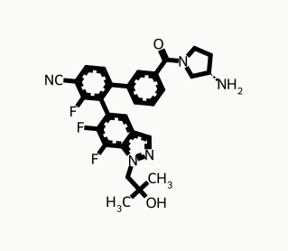 CC(C)(O)Cn1ncc2cc(-c3c(-c4cccc(C(=O)N5CC[C@H](N)C5)c4)ccc(C#N)c3F)c(F)c(F)c21